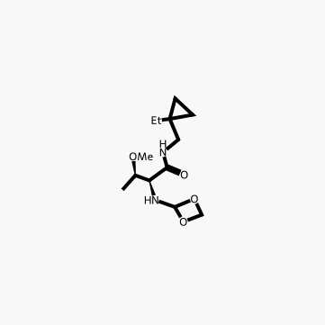 CCC1(CNC(=O)[C@@H](NC2OCO2)[C@@H](C)OC)CC1